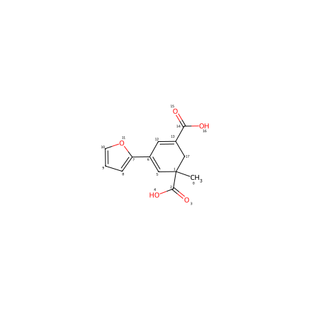 CC1(C(=O)O)C=C(c2ccco2)C=C(C(=O)O)C1